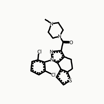 CN1CCN(C(=O)c2nn(-c3c(Cl)cccc3Cl)c3c2CCc2sccc2-3)CC1